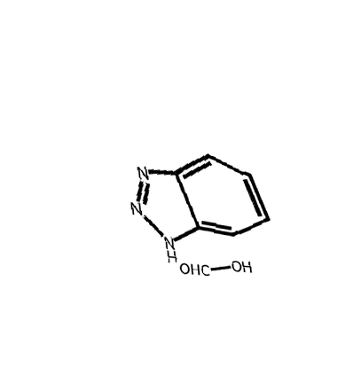 O=CO.c1ccc2[nH]nnc2c1